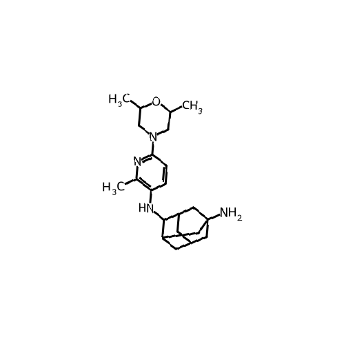 Cc1nc(N2CC(C)OC(C)C2)ccc1NC1C2CC3CC1CC(N)(C3)C2